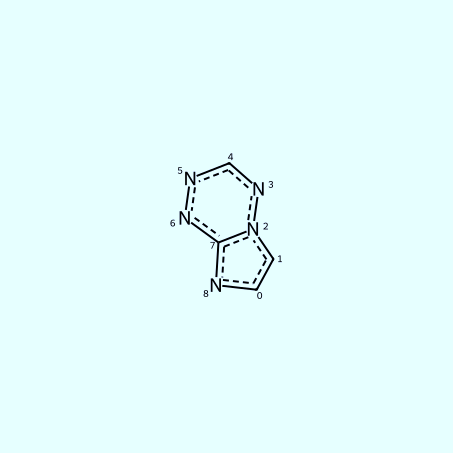 c1cn2ncnnc2n1